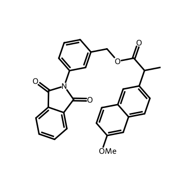 COc1ccc2cc(C(C)C(=O)OCc3cccc(N4C(=O)c5ccccc5C4=O)c3)ccc2c1